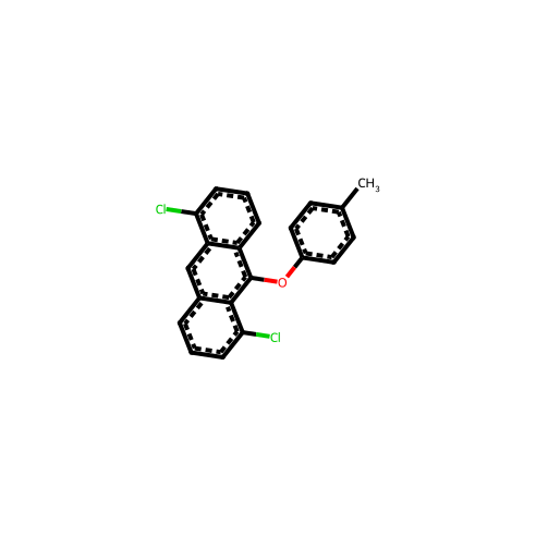 Cc1ccc(Oc2c3cccc(Cl)c3cc3cccc(Cl)c23)cc1